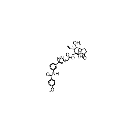 C=C[C@]1(C)C[C@@H](OC(=O)Cn2cc(-c3cccc(NC(=O)c4ccc(OC)cc4)c3)nn2)[C@]2(C)C(C)CC[C@]3(CCC(=O)[C@H]32)[C@@H](C)[C@@H]1O